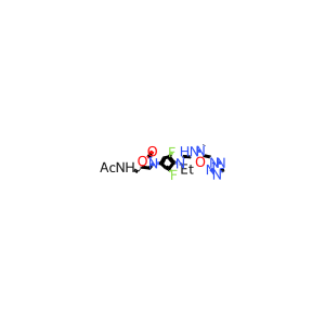 CCN(CCNN(C)C(=O)Cn1ncnn1)c1c(F)cc(N2C[C@H](CNC(C)=O)OC2=O)cc1F